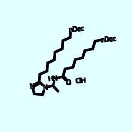 CCCCCCCCCCCCCCCCCCC1=NCCN1C(C)NC(=O)CCCCCCCCCCCCCCCCC.Cl